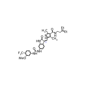 CCN(CC)CCNC(=O)c1c(C)[nH]c(/C=C2\C(=O)Nc3cc(NC(=O)Nc4ccc(C(F)(F)F)c(OC)c4)ccc32)c1C